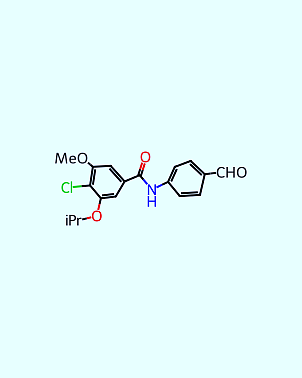 COc1cc(C(=O)Nc2ccc(C=O)cc2)cc(OC(C)C)c1Cl